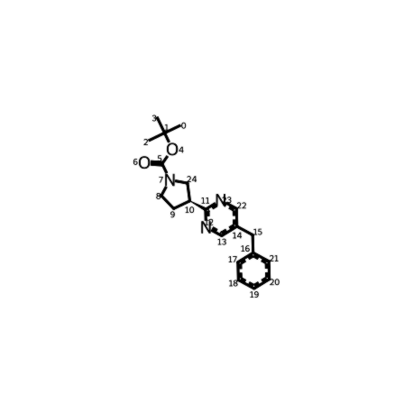 CC(C)(C)OC(=O)N1CC[C@H](c2ncc(Cc3ccccc3)cn2)C1